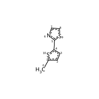 Cc1ccc(-c2nccs2)s1